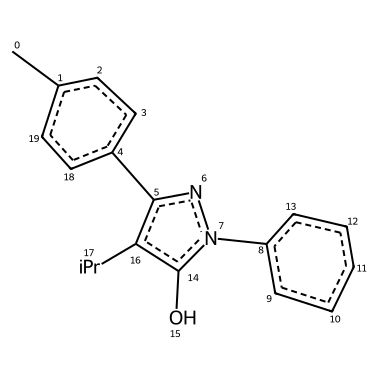 Cc1ccc(-c2nn(-c3ccccc3)c(O)c2C(C)C)cc1